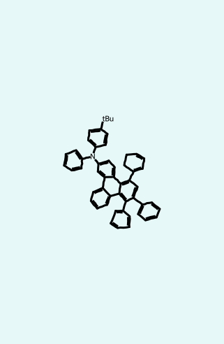 CC(C)(C)c1ccc(N(c2ccccc2)c2ccc3c(c2)c2ccccc2c2c(-c4ccccc4)c(-c4ccccc4)cc(C4=CC=CCC4)c32)cc1